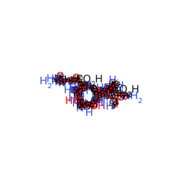 Cc1ccc(CCCC(=O)NCCCC[C@H](NC(=O)[C@@H]2CCCCn3cc(nn3)C[C@H](NC(=O)CC[C@H](NC(=O)c3ccc(NCc4cnc5nc(N)[nH]c(=O)c5n4)cc3)C(=O)O)C(=O)N[C@H](Cc3cnc[nH]3)C(=O)N[C@H](CO)C(=O)N[C@H](Cc3cnc[nH]3)C(=O)N[C@H]([C@H](C)O)C(=O)N[C@H](C)C(=O)N2)C(=O)NCC(=O)N[C@@H](Cc2ccccc2)C(=O)N[C@@H](CCCCNC(=O)CON)C(=O)O)cc1